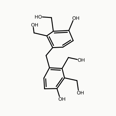 OCc1c(O)ccc(Cc2ccc(O)c(CO)c2CO)c1CO